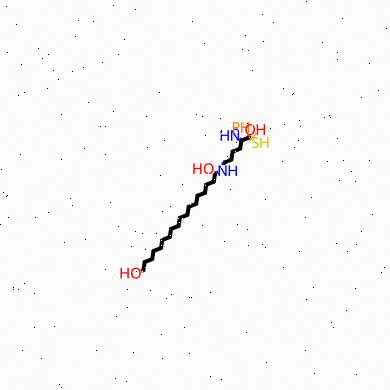 OCCCCCCCCCCCCCCCCCC(O)NCCCCC(NP)C(O)S